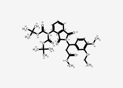 CCOc1cc(C(CC(=O)OC)N2C(=O)c3cccc(N(C(=O)OC(C)(C)C)C(=O)OC(C)(C)C)c3C2=O)ccc1OC